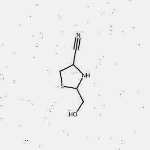 N#CC1CSC(CO)N1